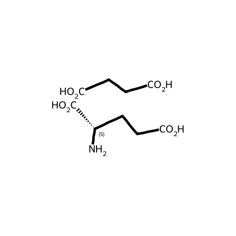 N[C@@H](CCC(=O)O)C(=O)O.O=C(O)CCC(=O)O